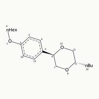 CCCCCCOc1ccc([C@@H]2CO[C@@H](CCCC)CO2)cc1